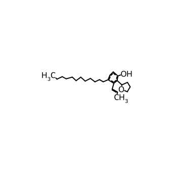 CC=Cc1c(CCCCCCCCCCCC)ccc(O)c1C1CCCO1